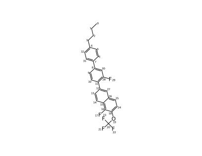 CCCCc1ccc(-c2ccc(-c3ccc4c(F)c(OC(F)(F)F)ccc4c3)c(F)c2)cc1